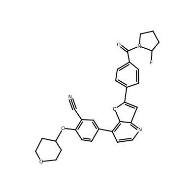 N#Cc1cc(-c2ccnc3cc(-c4ccc(C(=O)N5CCCC5F)cc4)oc23)ccc1OC1CCOCC1